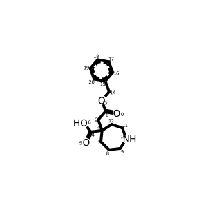 O=C(CC1(C(=O)O)CCCNCC1)OCc1ccccc1